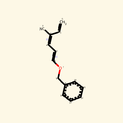 C=C/C(C#N)=C\C=C\OCc1ccccc1